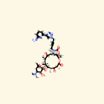 CC[C@H]1OC(=O)[C@H](C)C(=O)[C@H](C)[C@@H](O[C@@H]2OC(C)CC(N(C)C)C2O)[C@](C)(OC)C[C@@H](C)C(=O)[C@H](C)[C@H]2N(CC#CCn3cc(-c4cccc(N)n4)nn3)C(=O)O[C@]12C